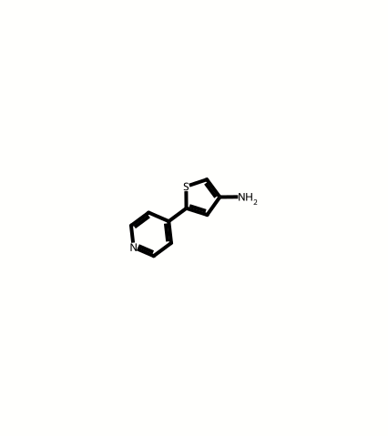 Nc1csc(-c2ccncc2)c1